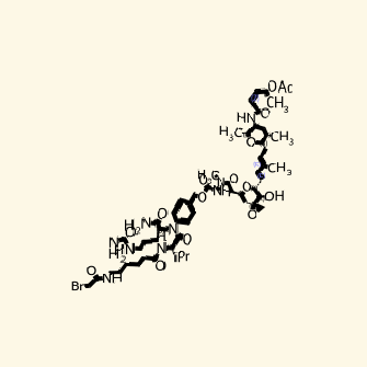 CC(=O)O[C@@H](C)/C=C\C(=O)N[C@@H]1C[C@H](C)[C@H](C/C=C(C)/C=C/[C@H]2O[C@H](CC(=O)N(C)NC(=O)OCc3ccc(N(C(=O)[C@@H](NC(=O)CCCCCNC(=O)CBr)C(C)C)[C@@H](CCCNC(N)=O)C(N)=O)cc3)C[C@@]3(CO3)[C@@H]2O)O[C@@H]1C